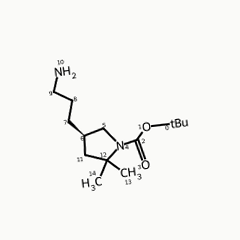 CC(C)(C)OC(=O)N1C[C@H](CCCN)CC1(C)C